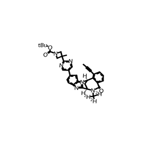 [2H]C([2H])([2H])N1C(=O)c2cccc(C#CC)c2[C@H]2C[C@@H]1c1nc3ccc(-c4cnc(C5(C)CN(C(=O)OC(C)(C)C)C5)nc4)cc3n12